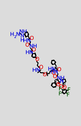 CC(C)(CCOC(C)(C)CCC(=O)N[C@@H](Cc1ccccc1)C(=O)NCC(=O)N[C@@H](Cc1ccccc1)C(=O)N1CCC[C@H]1C(=O)Oc1c(F)c(F)cc(F)c1F)NC(=O)CCCOc1ccc(NC(=O)CNC(=O)CNC(=O)c2cccc(NC(=N)N)c2)cc1